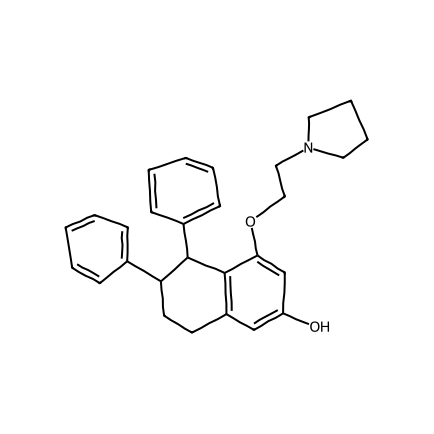 Oc1cc2c(c(OCCN3CCCC3)c1)C(c1ccccc1)C(c1ccccc1)CC2